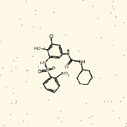 O=C(Nc1cc(Cl)c(O)c(NS(=O)(=O)c2ccccc2[N+](=O)[O-])c1)NC1CCCCC1